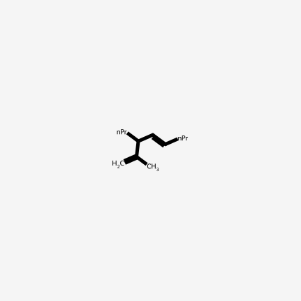 C=C(C)C(C=CCCC)CCC